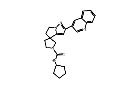 O=C(NC1CCCC1)N1CCC2(CCn3nc(-c4cnc5ccccc5c4)cc32)C1